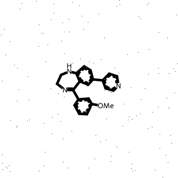 COc1cccc(C2=NCCNc3ccc(-c4ccncc4)cc32)c1